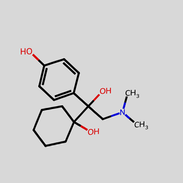 CN(C)CC(O)(c1ccc(O)cc1)C1(O)CCCCC1